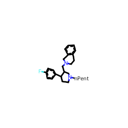 CCCCCN1CCC(c2ccc(F)cc2)C(CN2CCc3ccccc3C2)C1